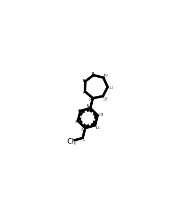 ClCc1ccc(C2CCCCCC2)cc1